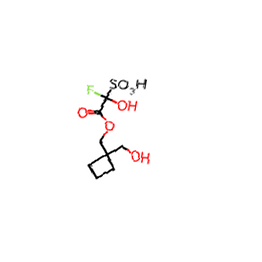 O=C(OCC1(CO)CCC1)C(O)(F)S(=O)(=O)O